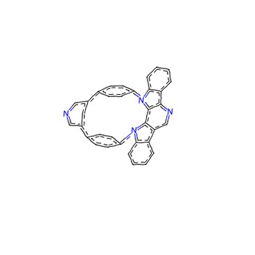 c1ccc2c(c1)c1cnc3c4ccccc4n4c5ccc(cc5)c5cncc(c5)c5ccc(cc5)n2c1c34